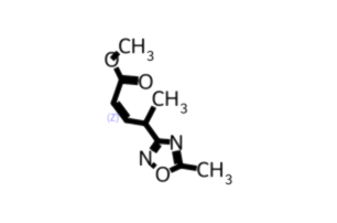 COC(=O)/C=C\C(C)c1noc(C)n1